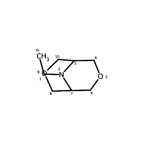 CCN1C2COCC1COC2